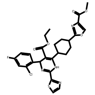 CCOC(=O)C1=C(C2CCC(c3nc(C(=O)OC)co3)CC2)NC(c2nccs2)=NC1c1ccc(F)cc1Cl